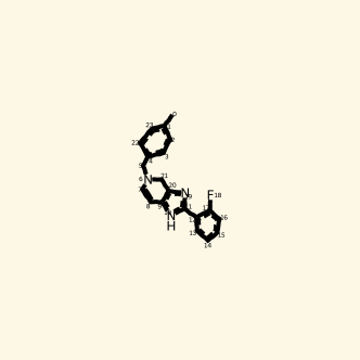 Cc1ccc(CN2C=Cc3[nH]c(-c4ccccc4F)nc3C2)cc1